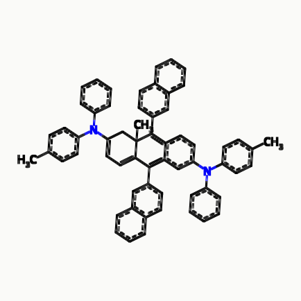 Cc1ccc(N(C2=CC=C3C(c4ccc5ccccc5c4)=c4cc(N(c5ccccc5)c5ccc(C)cc5)ccc4=C(c4ccc5ccccc5c4)C3(C)C2)c2ccccc2)cc1